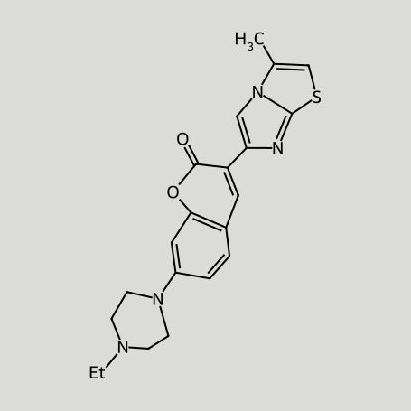 CCN1CCN(c2ccc3cc(-c4cn5c(C)csc5n4)c(=O)oc3c2)CC1